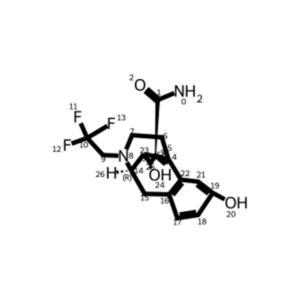 NC(=O)[C@H]1C[C@]23CCN(CC(F)(F)F)[C@H](Cc4ccc(O)cc42)[C@]3(O)C1